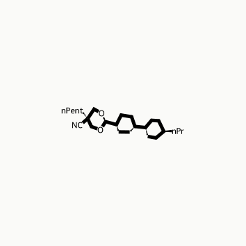 CCCCC[C@]1(C#N)CO[C@H]([C@H]2CC[C@@H]([C@H]3CC[C@H](CCC)CC3)CC2)OC1